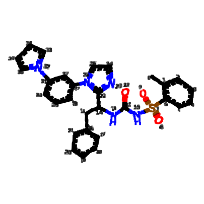 Cc1ccccc1S(=O)(=O)NC(=O)NC(Cc1ccccc1)c1nccn1-c1cccc(-n2cccc2)c1